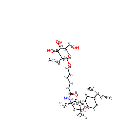 CCCCCC(CCCC)C1CCC(OC(C)(C)CC(C)(C)NC(=O)CCCCCOC2OC(CO)C(O)C(O)C2NC(C)=O)CC1